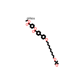 CCCCCC[C@@H](C)OC(=O)c1ccc(OC(=O)c2ccc(-c3ccc(OCCCCCCCCCCCOCC4(C)COC4)cc3)cc2)cc1